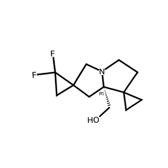 OC[C@]12CC3(CN1CCC21CC1)CC3(F)F